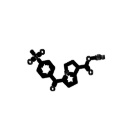 CC(C)(C)OC(=O)C1CCn2c(C(=O)c3ccc(S(C)(=O)=O)cc3)ccc21